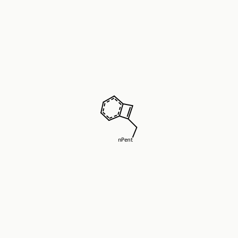 CCCCCCC1=Cc2ccccc21